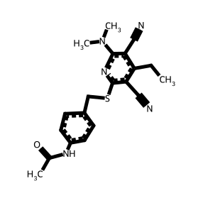 CCc1c(C#N)c(SCc2ccc(NC(C)=O)cc2)nc(N(C)C)c1C#N